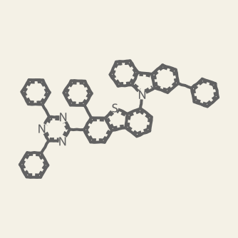 c1ccc(-c2ccc3c4ccccc4n(-c4cccc5c4sc4c(-c6ccccc6)c(-c6nc(-c7ccccc7)nc(-c7ccccc7)n6)ccc45)c3c2)cc1